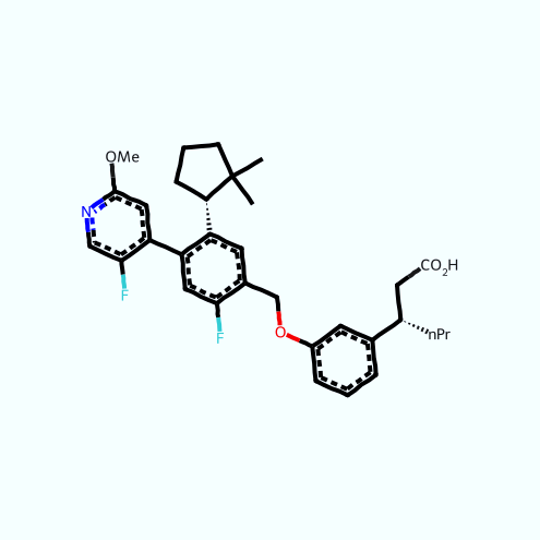 CCC[C@@H](CC(=O)O)c1cccc(OCc2cc([C@@H]3CCCC3(C)C)c(-c3cc(OC)ncc3F)cc2F)c1